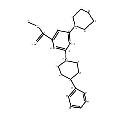 COC(=O)c1cc(N2CCCCC2)nc(N2CCC(c3ccccc3)CC2)n1